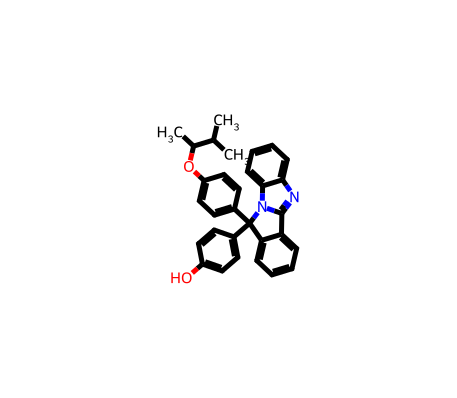 CC(C)C(C)Oc1ccc(C2(c3ccc(O)cc3)c3ccccc3-c3nc4ccccc4n32)cc1